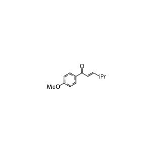 COc1ccc(C(=O)C=CC(C)C)cc1